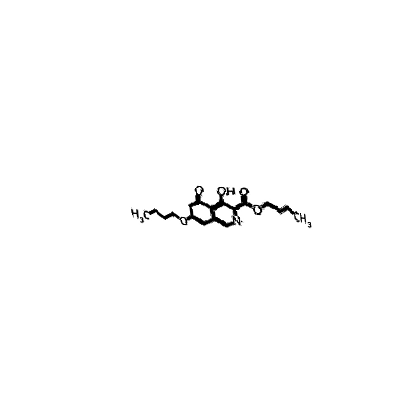 CCCCOC(=O)C1[N]C=C2C=C(OCCCC)CC(=O)C2=C1O